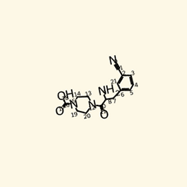 N#Cc1cccc(CC(N)C(=O)N2CCN(C(=O)O)CC2)c1